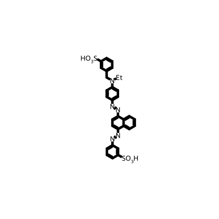 CCN(Cc1cccc(S(=O)(=O)O)c1)c1ccc(/N=N/c2ccc(/N=N/c3cccc(S(=O)(=O)O)c3)c3ccccc23)cc1